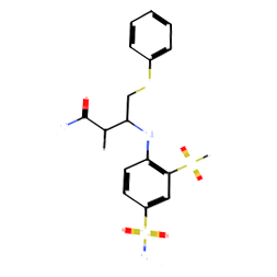 CCC(C(N)=O)C(CSc1ccccc1)Nc1ccc(S(N)(=O)=O)cc1S(=O)(=O)C(F)(F)F